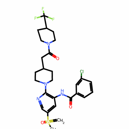 C=S(C)(=O)c1cnc(N2CCC(CC(=O)N3CCC(C(F)(F)F)CC3)CC2)c(NC(=O)c2cccc(Cl)c2)c1